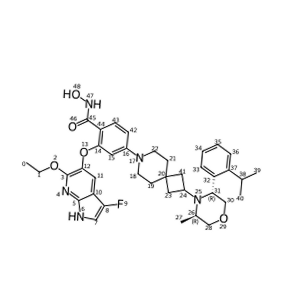 CCOc1nc2[nH]cc(F)c2cc1Oc1cc(N2CCC3(CC2)CC(N2[C@H](C)COC[C@H]2c2ccccc2C(C)C)C3)ccc1C(=O)NO